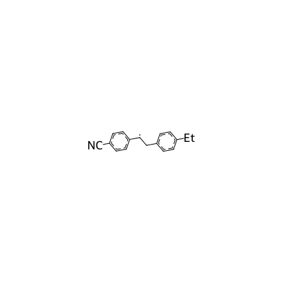 CCc1ccc(C[CH]c2ccc(C#N)cc2)cc1